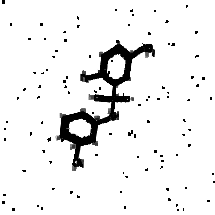 CCc1ccc([N+](=O)[O-])cc1S(=O)(=O)Nc1cccc(C#N)c1